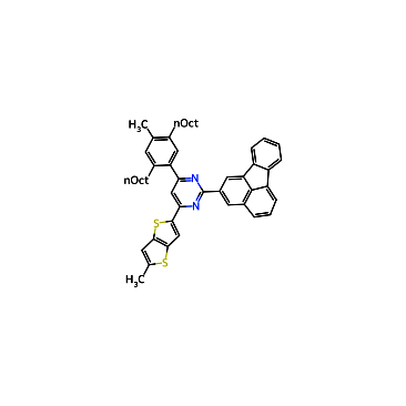 CCCCCCCCc1cc(-c2cc(-c3cc4sc(C)cc4s3)nc(-c3cc4c5c(cccc5c3)-c3ccccc3-4)n2)c(CCCCCCCC)cc1C